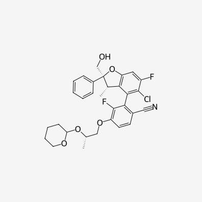 C[C@@H](COc1ccc(C#N)c(-c2c(Cl)c(F)cc3c2[C@H](C)[C@@](CO)(c2ccccc2)O3)c1F)OC1CCCCO1